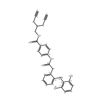 C#CCC(CC#C)COC(=O)c1ccc(OC(=O)Cc2ccccc2Nc2c(Cl)cccc2Cl)cc1